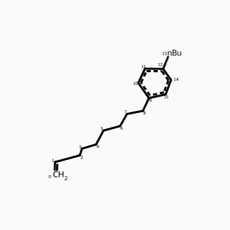 C=CCCCCCCCc1ccc(CCCC)cc1